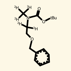 [2H]C([2H])([2H])N(C(=O)OC(C)(C)C)C([2H])([2H])COCc1ccccc1